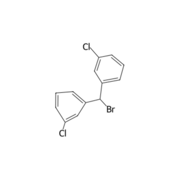 Clc1cccc(C(Br)c2cccc(Cl)c2)c1